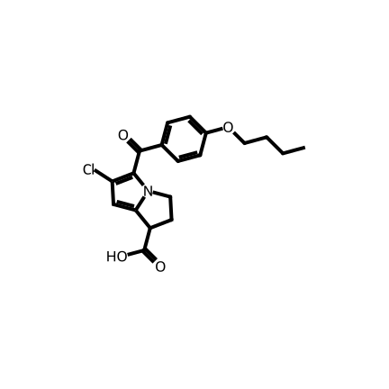 CCCCOc1ccc(C(=O)c2c(Cl)cc3n2CCC3C(=O)O)cc1